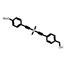 COc1ccc(C#C[Si](C)(C)C#Cc2ccc(CO)cc2)cc1